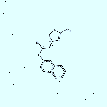 CC[C@@H](C[C@H]1COC(N)=N1)Oc1ccc2ccccc2c1